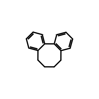 [c]1cccc2c1-c1[c]cccc1CCCC2